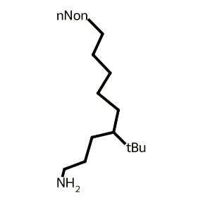 CCCCCCCCCCCCCCC(CCCN)C(C)(C)C